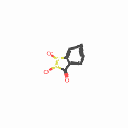 O=c1c2ccccc2[s+]([O-])[s+]1[O-]